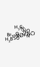 Bc1sc(S(=O)(=O)N2CCN(c3cnn(-c4ccccc4)c(=O)c3N3CCN(C)CC3)CC2)cc1Br